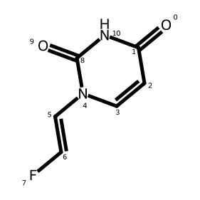 O=c1ccn(C=CF)c(=O)[nH]1